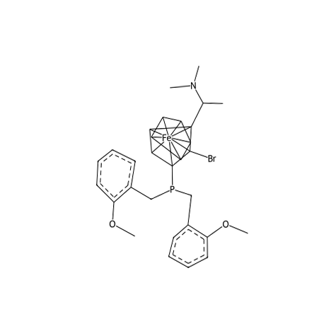 COc1ccccc1CP(Cc1ccccc1OC)[C]12[CH]3[CH]4[C]5(C(C)N(C)C)[C]1(Br)[Fe]43521678[CH]2[CH]1[CH]6[CH]7[CH]28